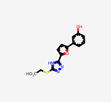 O=C(O)CSc1nnc(-c2ccc(-c3cccc(O)c3)o2)[nH]1